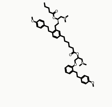 CCCCC(=O)O[C@H](CCc1cc(CCCCCC(=O)OC(COc2ccccc2CCc2ccc(OC)cc2)CN(C)C)ccc1CCc1ccc(OC)cc1)CN(C)C